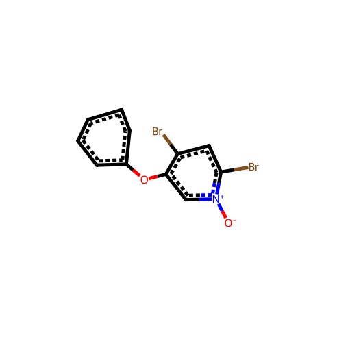 [O-][n+]1cc(Oc2ccccc2)c(Br)cc1Br